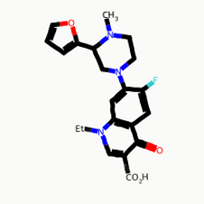 CCn1cc(C(=O)O)c(=O)c2cc(F)c(N3CCN(C)C(c4ccco4)C3)cc21